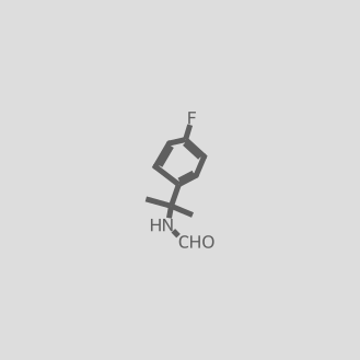 CC(C)(NC=O)c1ccc(F)cc1